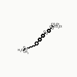 C=C(C)C(=O)OCCCCCCC1CCC(c2ccc(-c3ccc(C(=O)Oc4ccc(C5O[C@@H](C(=O)OCC)[C@H](C(=O)OCC)O5)cc4)cc3)cc2)CC1